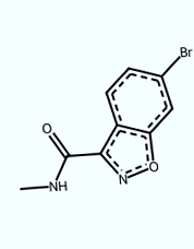 CNC(=O)c1noc2cc(Br)ccc12